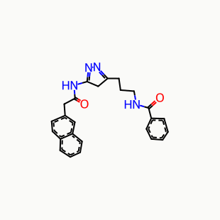 O=C(Cc1ccc2ccccc2c1)NC1=NN=C(CCCNC(=O)c2ccccc2)C1